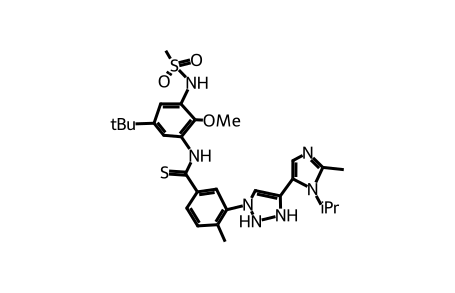 COc1c(NC(=S)c2ccc(C)c(N3C=C(c4cnc(C)n4C(C)C)NN3)c2)cc(C(C)(C)C)cc1NS(C)(=O)=O